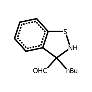 CCCCC1(C=O)NSc2ccccc21